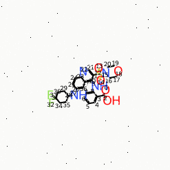 O=C(O)c1ccccc1Nc1c(S(=O)(=O)N2CCOCC2)cnc2ccc(NC3CCC(F)(F)CC3)cc12